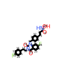 O=C(/C=C/c1ccc(Cn2c(=O)n(CCc3ccc(F)cc3)c(=O)c3ccc(F)cc32)cc1)NO